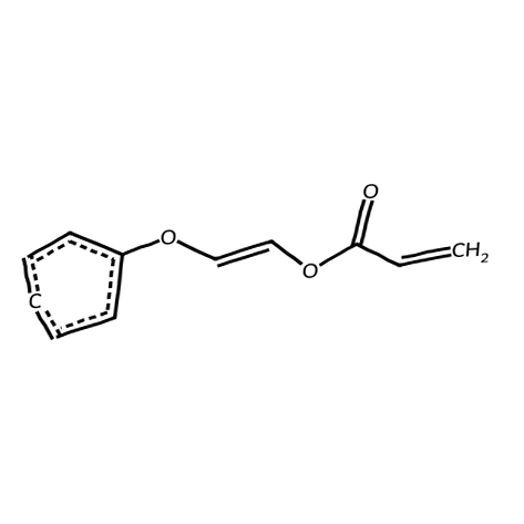 C=CC(=O)OC=COc1ccccc1